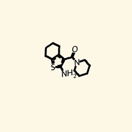 Nc1sc2c(c1C(=O)N1CCCCC1)CCCC2